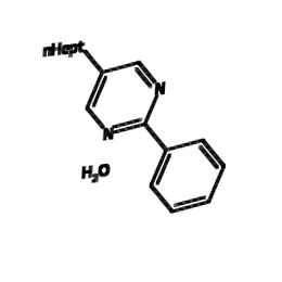 CCCCCCCc1cnc(-c2ccccc2)nc1.O